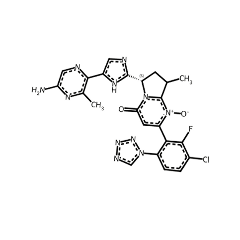 Cc1nc(N)cnc1-c1cnc([C@@H]2CC(C)c3n2c(=O)cc(-c2c(-n4cnnn4)ccc(Cl)c2F)[n+]3[O-])[nH]1